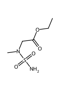 CCOC(=O)CN(C)S(N)(=O)=O